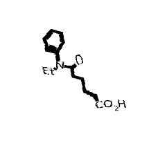 CCN(C(=O)CCCCC(=O)O)c1ccccc1